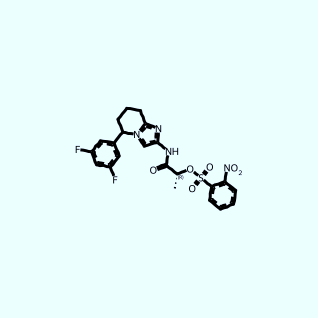 C[C@@H](OS(=O)(=O)c1ccccc1[N+](=O)[O-])C(=O)Nc1cn2c(n1)CCCC2c1cc(F)cc(F)c1